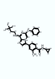 Cc1cc(-c2cnc3c(NCCC(F)(F)F)nc(Oc4ccccc4)cn23)ccc1C(=O)NC1CC1